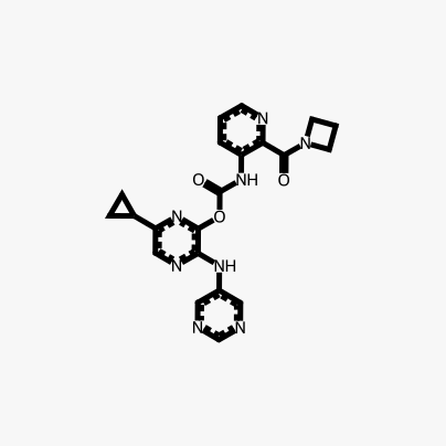 O=C(Nc1cccnc1C(=O)N1CCC1)Oc1nc(C2CC2)cnc1Nc1cncnc1